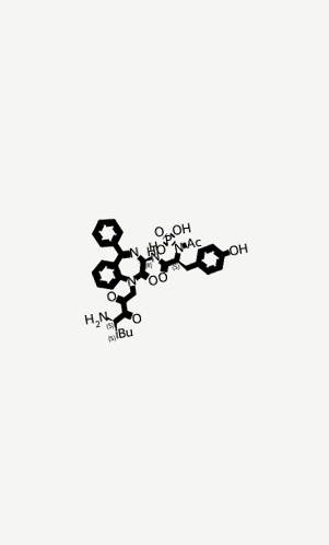 CC[C@H](C)[C@H](N)C(=O)C(=O)CN1C(=O)[C@H](NC(=O)[C@H](Cc2ccc(O)cc2)N(C(C)=O)P(=O)(O)O)N=C(c2ccccc2)c2ccccc21